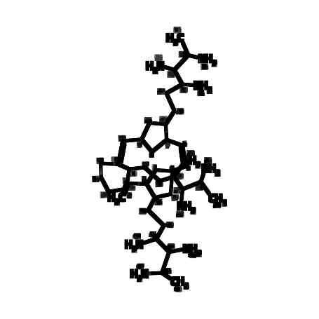 C=CC1CC(/C=C\C2CC(/C=C3/CCCCC3CCC(N)C(N)C(C)N)CC2CCC(N)C(N)C(C)N)CC1CCC(N)C(N)C(C)N